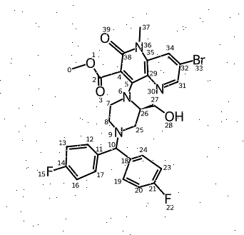 COC(=O)c1c(N2CCN(C(c3ccc(F)cc3)c3ccc(F)cc3)C[C@@H]2CO)c2ncc(Br)cc2n(C)c1=O